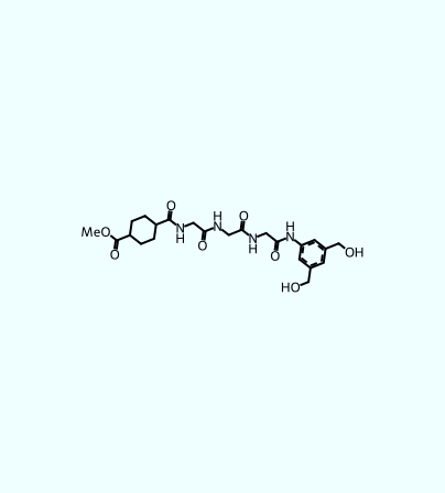 COC(=O)C1CCC(C(=O)NCC(=O)NCC(=O)NCC(=O)Nc2cc(CO)cc(CO)c2)CC1